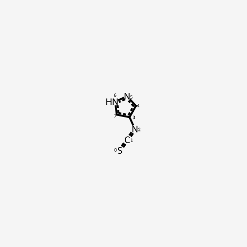 S=C=Nc1cn[nH]c1